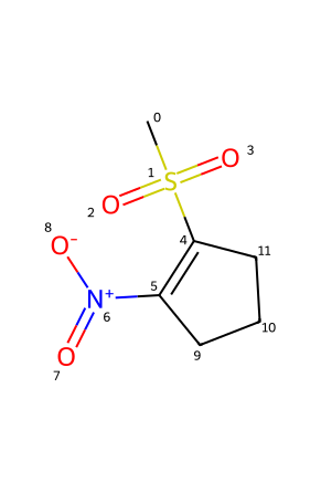 CS(=O)(=O)C1=C([N+](=O)[O-])CCC1